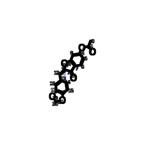 CC(=O)Oc1ccc2c(c1)O/C(=C/c1ccc3c(c1)OCO3)C2=O